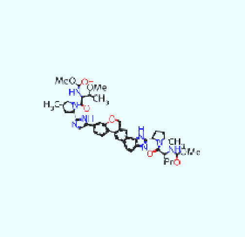 COC(=O)N[C@H](C(=O)N1[C@@H](C)CC[C@H]1c1nc2ccc3cc4c(cc3c2[nH]1)COc1cc(-c2cnc([C@@H]3C[C@H](C)CN3C(=O)[C@@H](NC(O)OC)[C@@H](C)OC)[nH]2)ccc1-4)C(C)C